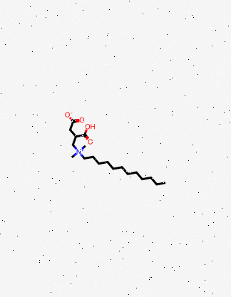 CCCCCCCCCCCC[N+](C)(C)CC(CC(=O)[O-])C(=O)O